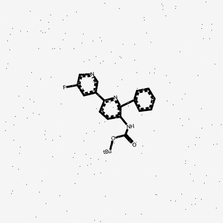 CC(C)(C)OC(=O)Nc1ccc(-c2cncc(F)c2)nc1-c1ccccc1